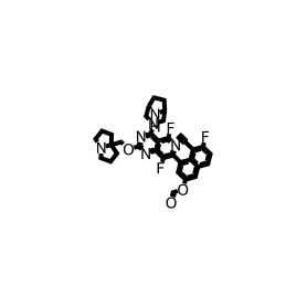 C#Cc1c(F)ccc2cc(OC=O)cc(-c3nc(F)c4c(N5CC6CCC(C5)N6)nc(OCC56CCCN5CCC6)nc4c3F)c12